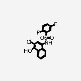 O=S(=O)(Nc1cc(Cl)c(O)c2ccccc12)c1cc(F)ccc1F